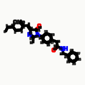 C=C(/C=C\C(=C/C)OC)/C=C1\N=C(C)N(c2ccc(CC(=O)NCc3ccccc3)cc2)C1=O